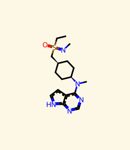 CCS(=O)(C[C@H]1CC[C@@H](N(C)c2ncnc3[nH]ccc23)CC1)=NC